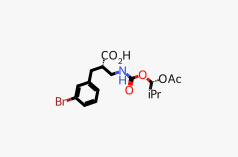 CC(=O)O[C@@H](OC(=O)NC[C@H](Cc1cccc(Br)c1)C(=O)O)C(C)C